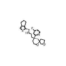 Fc1ccnc(C2(CCNCc3scc4c3CCC4)CCOC3(CCOC3)C2)c1